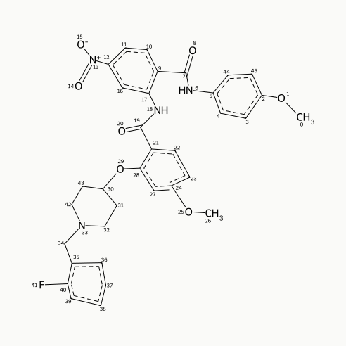 COc1ccc(NC(=O)c2ccc([N+](=O)[O-])cc2NC(=O)c2ccc(OC)cc2OC2CCN(Cc3ccccc3F)CC2)cc1